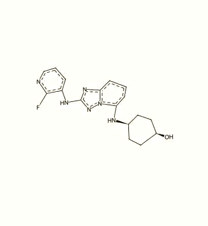 O[C@H]1CC[C@@H](Nc2cccc3nc(Nc4cccnc4F)nn23)CC1